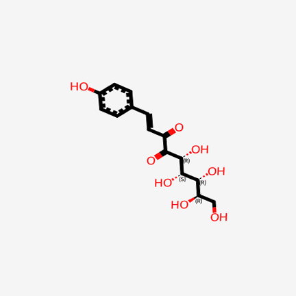 O=C(C=Cc1ccc(O)cc1)C(=O)[C@H](O)[C@@H](O)[C@H](O)[C@H](O)CO